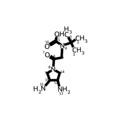 CC(C)(C)N(CC(=O)N1CC(N)C(N)C1)C(=O)O